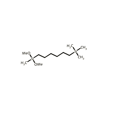 CO[Si](C)(CCCCCC[Si](C)(C)C)OC